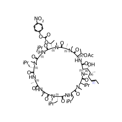 C/C=C/C[C@@H](C)[C@@H](O)[C@H]1C(=O)N[C@@H]([C@@H](C)OC(C)=O)C(=O)N(C)[C@@H](C)C(=O)N(C)[C@@H](C(C)OC(=O)Oc2ccc([N+](=O)[O-])cc2)C(=O)N[C@@H](CC(C)C)C(=O)N(C)[C@@H](CC(C)C)C(=O)N[C@@H](C)C(=O)N[C@H](C)C(=O)N(C)[C@@H](CC(C)C)C(=O)NC(CC(C)C)C(=O)N(C)C(C(C)C)C(=O)N1C